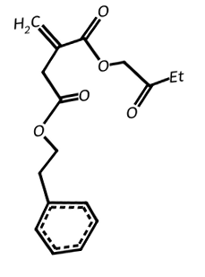 C=C(CC(=O)OCCc1ccccc1)C(=O)OCC(=O)CC